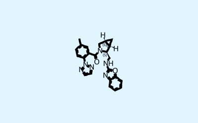 Cc1ccc(-n2nccn2)c(C(=O)N2C[C@H]3C[C@H]3[C@H]2CNc2nc3ccccc3o2)c1